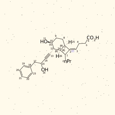 CCCC1/C(=C/CCC(=O)O)[C@@H]2CC[C@H](O)[C@@H](C#CC(O)Cc3ccccc3)[C@H]12